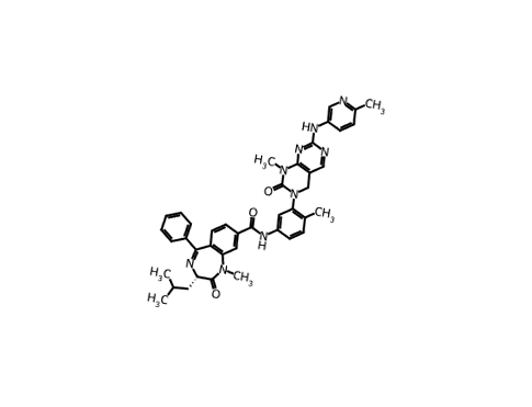 Cc1ccc(Nc2ncc3c(n2)N(C)C(=O)N(c2cc(NC(=O)c4ccc5c(c4)N(C)C(=O)[C@H](CC(C)C)N=C5c4ccccc4)ccc2C)C3)cn1